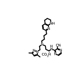 Cc1cc(C)n(CCN(CCCCc2ccc3c(n2)NCCC3)CC[C@H](Nc2nccnc2C#N)C(=O)O)n1